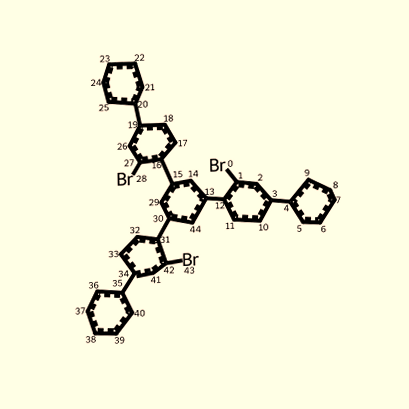 Brc1cc(-c2ccccc2)ccc1-c1cc(-c2ccc(-c3ccccc3)cc2Br)cc(-c2ccc(-c3ccccc3)cc2Br)c1